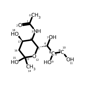 CC(=O)NC1[C@H](C(O)[8CH](O)[9CH2]O)OC(C)(O)C[C@H]1O